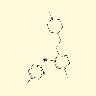 Cc1ccc(Nc2cc(Cl)ccc2OCC2CCN(C)CC2)nc1